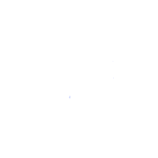 CCc1ncc(-c2ccc3c(CC(=O)O)c[nH]c3c2)cn1